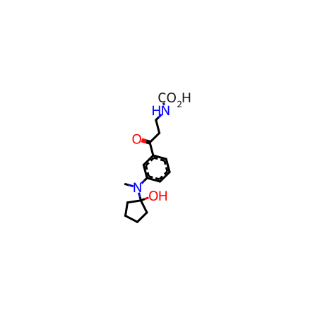 CN(c1cccc(C(=O)CCNC(=O)O)c1)C1(O)CCCC1